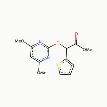 COC(=O)C(Oc1nc(OC)cc(OC)n1)c1cccs1